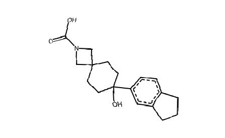 O=C(O)N1CC2(CCC(O)(c3ccc4c(c3)CCC4)CC2)C1